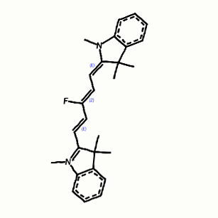 CN1/C(=C/C=C(F)/C=C/C2=[N+](C)c3ccccc3C2(C)C)C(C)(C)c2ccccc21